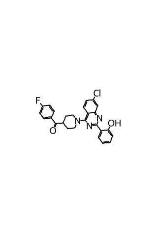 O=C(c1ccc(F)cc1)C1CCN(c2nc(-c3ccccc3O)nc3cc(Cl)ccc23)CC1